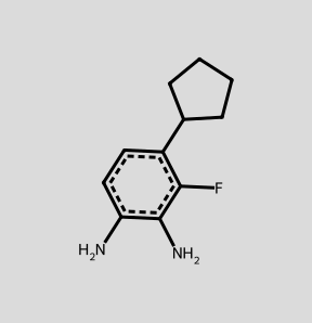 Nc1ccc(C2CCCC2)c(F)c1N